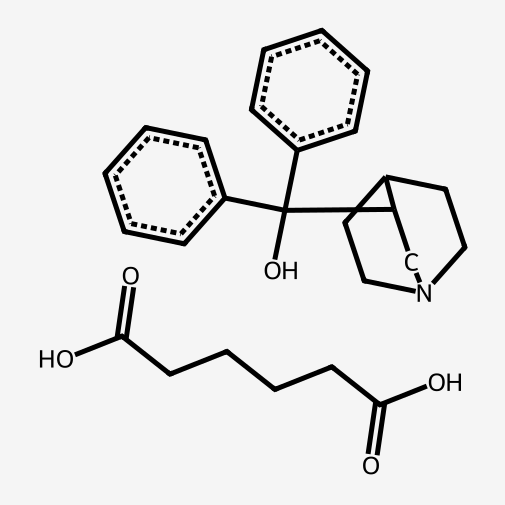 O=C(O)CCCCC(=O)O.OC(c1ccccc1)(c1ccccc1)C1CN2CCC1CC2